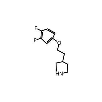 Fc1ccc(OCCC2CCNCC2)cc1F